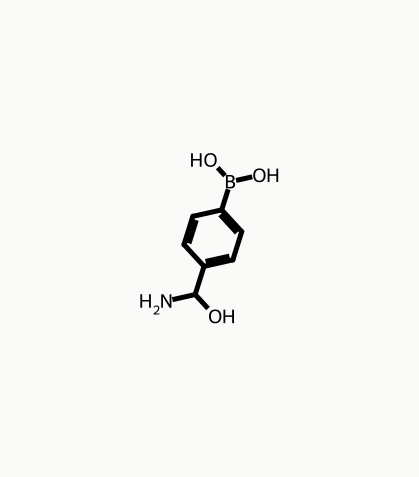 NC(O)c1ccc(B(O)O)cc1